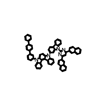 c1ccc(-c2ccc(-c3cccc(-n4c5ccccc5c5c6c7ccccc7n(-c7ccc8c9ccccc9n(-c9nc(-c%10ccc%11ccccc%11c%10)cc(-c%10ccc%11ccccc%11c%10)n9)c8c7)c6ccc54)c3)cc2)cc1